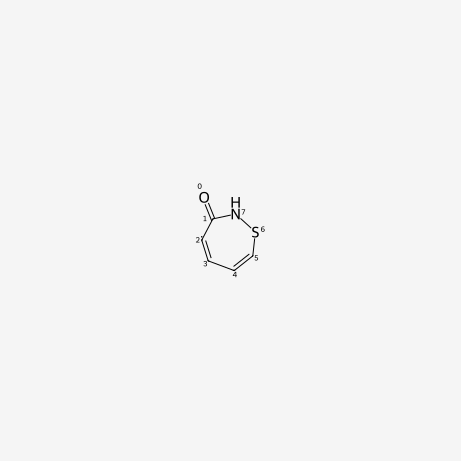 O=C1[C]=CC=CSN1